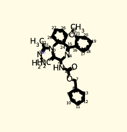 C=C1C(NC(=O)OCc2ccccc2)N=C(c2ccccc2OC)c2ccccc2N1/C(C)=N\N